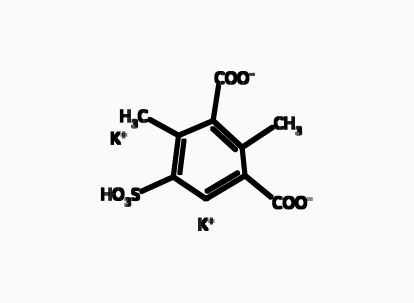 Cc1c(C(=O)[O-])cc(S(=O)(=O)O)c(C)c1C(=O)[O-].[K+].[K+]